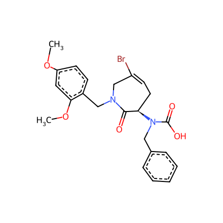 COc1ccc(CN2CC(Br)=CC[C@@H](N(Cc3ccccc3)C(=O)O)C2=O)c(OC)c1